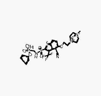 C[N+]12CC[N+](CCOc3ccc4sc(S(=O)(=O)NCP(=O)(O)Oc5ccccc5)c(C(F)(F)F)c4c3C#N)(CC1)CC2